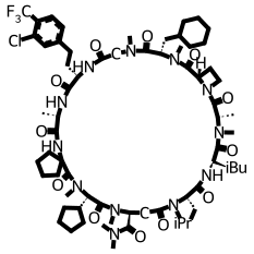 CC[C@H](C)[C@@H]1NC(=O)[C@H](CC(C)C)N(C)C(=O)C[C@@H](C(=O)N(C)C)N(C)C(=O)[C@H](C2CCCC2)N(C)C(=O)C2(CCCC2)NC(=O)[C@H](C)NC(=O)[C@H](CCc2ccc(C(F)(F)F)c(Cl)c2)NC(=O)CN(C)C(=O)[C@H](CC2CCCCC2)N(C)C(=O)[C@@H]2CCN2C(=O)[C@H](C)N(C)C1=O